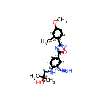 COc1ccc(-c2noc(-c3ccc(NCC(C)(C)O)c(N=N)c3)n2)c(C)c1